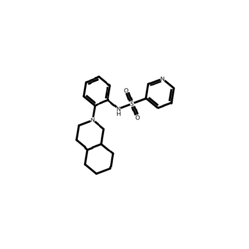 O=S(=O)(Nc1ccccc1N1CCC2CCCCC2C1)c1cccnc1